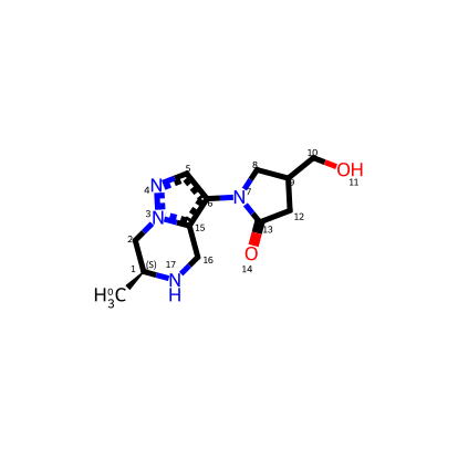 C[C@H]1Cn2ncc(N3CC(CO)CC3=O)c2CN1